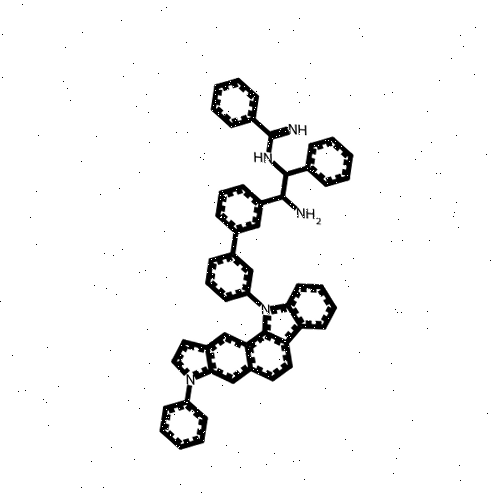 N=C(NC(c1ccccc1)C(N)c1cccc(-c2cccc(-n3c4ccccc4c4ccc5cc6c(ccn6-c6ccccc6)cc5c43)c2)c1)c1ccccc1